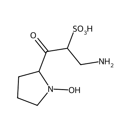 NCC(C(=O)C1CCCN1O)S(=O)(=O)O